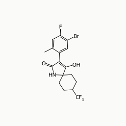 Cc1cc(F)c(Br)cc1C1=C(O)C2(CCC(C(F)(F)F)CC2)NC1=O